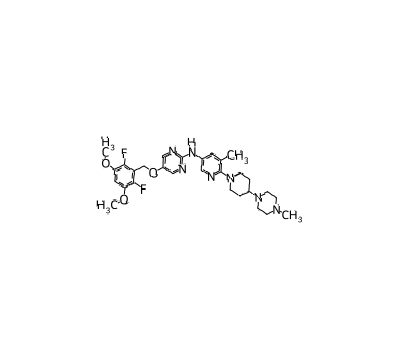 COc1cc(OC)c(F)c(COc2cnc(Nc3cnc(N4CCC(N5CCN(C)CC5)CC4)c(C)c3)nc2)c1F